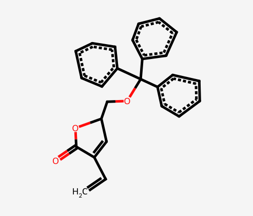 C=CC1=CC(COC(c2ccccc2)(c2ccccc2)c2ccccc2)OC1=O